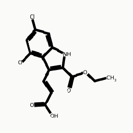 CCOC(=O)c1[nH]c2cc(Cl)cc(Cl)c2c1C=CC(=O)O